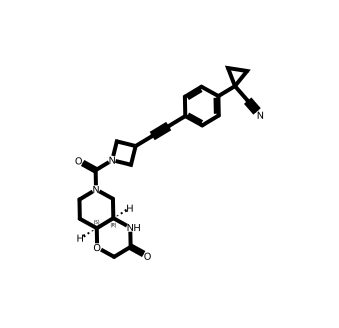 N#CC1(c2ccc(C#CC3CN(C(=O)N4CC[C@@H]5OCC(=O)N[C@@H]5C4)C3)cc2)CC1